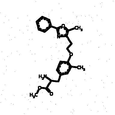 COC(=O)C(N)Cc1ccc(OCCc2nc(-c3ccccc3)oc2C)c(C)c1